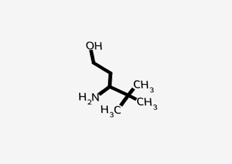 CC(C)(C)C(N)CCO